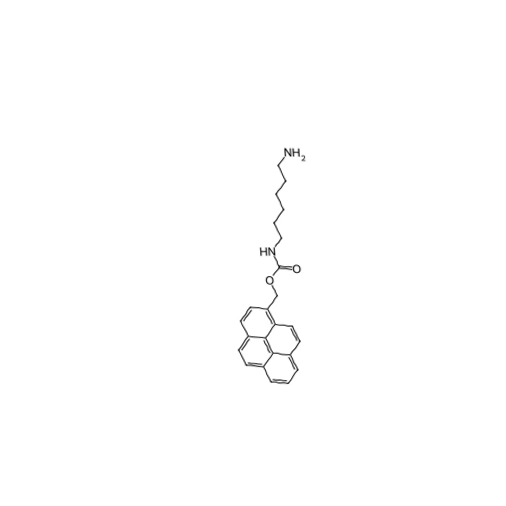 NCCCCCCNC(=O)OCc1ccc2ccc3cccc4ccc1c2c34